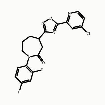 O=C1CC(c2noc(-c3cc(Cl)ccn3)n2)CCCN1c1ccc(F)cc1F